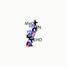 COC1(CNc2cc(NC(=O)N3CCCc4cc(CN5CCOCC5C)c(C=O)nc43)ncc2C#N)CC1